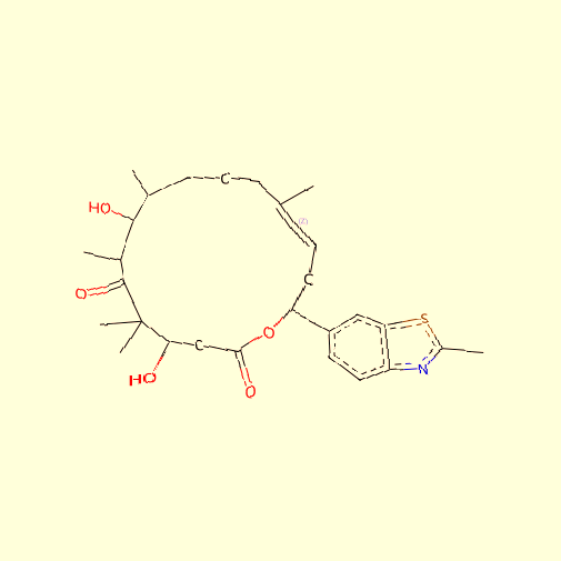 C/C1=C/CC(c2ccc3nc(C)sc3c2)OC(=O)CC(O)C(C)(C)C(=O)C(C)C(O)C(C)CCC1